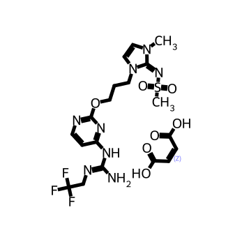 Cn1ccn(CCCOc2nccc(NC(N)=NCC(F)(F)F)n2)c1=NS(C)(=O)=O.O=C(O)/C=C\C(=O)O